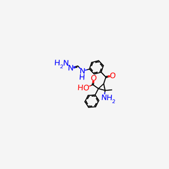 CC1(N)C(C(=O)c2cccc(NC=NN)c2)C1(C(=O)O)c1ccccc1